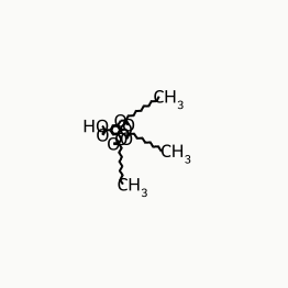 CCCCCCCCCC(=O)Oc1cc(C(=O)O)cc(OC(=O)CCCCCCCCC)c1OC(=O)CCCCCCCCC